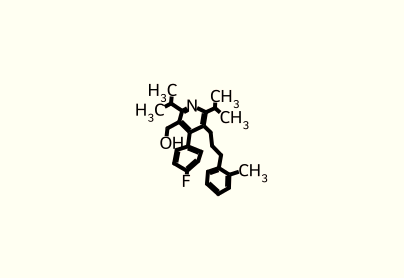 Cc1ccccc1CCCc1c(C(C)C)nc(C(C)C)c(CO)c1-c1ccc(F)cc1